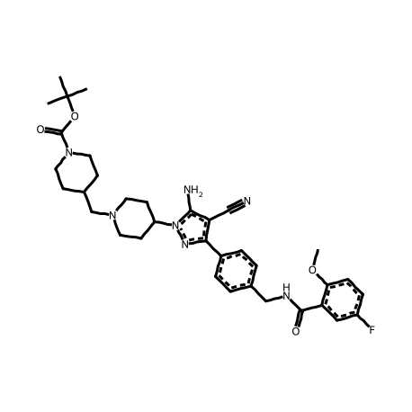 COc1ccc(F)cc1C(=O)NCc1ccc(-c2nn(C3CCN(CC4CCN(C(=O)OC(C)(C)C)CC4)CC3)c(N)c2C#N)cc1